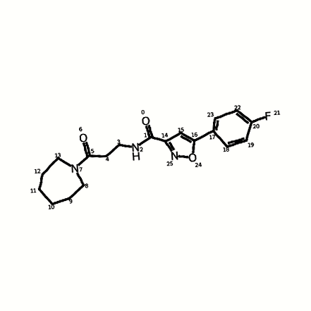 O=C(NCCC(=O)N1CCCCCC1)c1cc(-c2ccc(F)cc2)on1